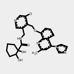 Cc1cc(-n2ccnc2)c2cccc(OCc3c(Cl)cncc3CNC(=O)C3(O)CCCCC3O)c2n1